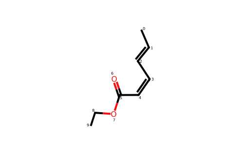 C/C=C/[C]=C\C(=O)OCC